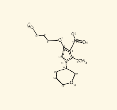 Cc1c([N+](=O)[O-])c(OCCCO)nn1C1CCCOC1